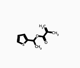 C=C(C)C(=O)OC(C)c1cccs1